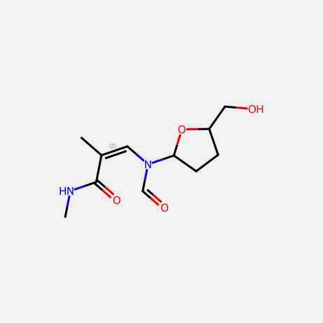 CNC(=O)/C(C)=C\N(C=O)C1CCC(CO)O1